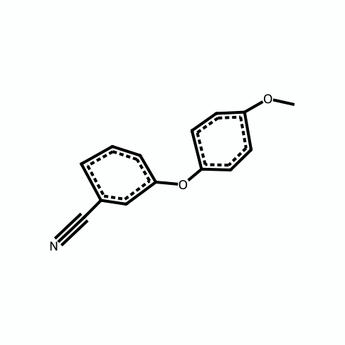 COc1ccc(Oc2cccc(C#N)c2)cc1